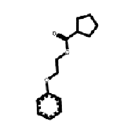 O=C(OCCOc1ccccc1)C1CCCC1